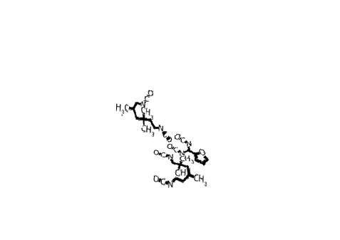 CC(CCN=C=O)CC(C)(C)CN=C=O.CC(CN=C=O)CC(C)(C)CCN=C=O.O=C=NC(N=C=O)c1ccco1